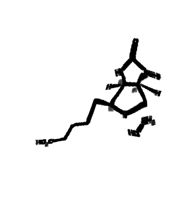 BO.O=C(O)CCCC[C@@H]1SC[C@@H]2NC(=O)N[C@@H]21